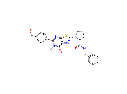 Cn1c(-c2ccc(CO)cc2)nc2sc(N3CCCC3C(=O)NCc3ccccc3)nc2c1=O